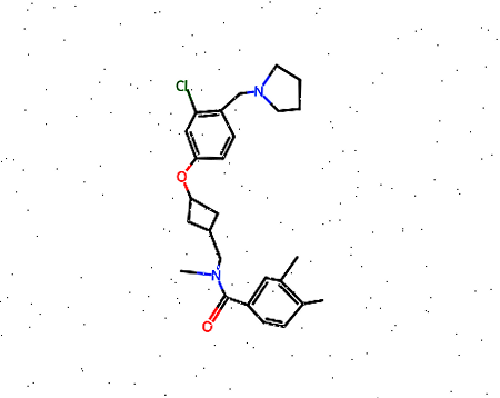 Cc1ccc(C(=O)N(C)CC2CC(Oc3ccc(CN4CCCC4)c(Cl)c3)C2)cc1C